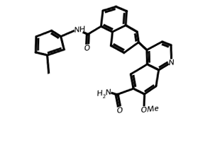 COc1cc2nccc(-c3ccc4c(C(=O)Nc5cccc(C)c5)cccc4c3)c2cc1C(N)=O